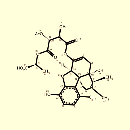 CC(=O)O[C@@H](C(=O)OC1=CC[C@@]2(O)[C@@H](C)N(C)CC[C@@]23c2c(C)ccc(O)c2O[C@@H]13)[C@@H](OC(C)=O)C(=O)O[C@@H](C)C(=O)O